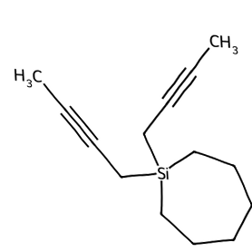 CC#CC[Si]1(CC#CC)CCCCCC1